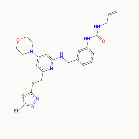 C=CCNC(=O)Nc1cccc(CNc2cc(N3CCOCC3)cc(CSc3nnc(CC)s3)n2)c1